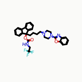 O=C(NCC(F)(F)F)OC1(CCCCN2CCN(c3nc4ccccc4o3)CC2)c2ccccc2-c2ccccc21